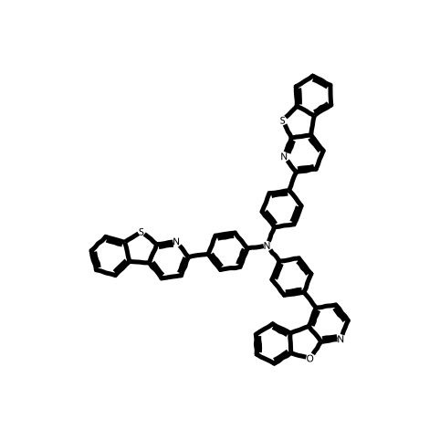 c1ccc2c(c1)oc1nccc(-c3ccc(N(c4ccc(-c5ccc6c(n5)sc5ccccc56)cc4)c4ccc(-c5ccc6c(n5)sc5ccccc56)cc4)cc3)c12